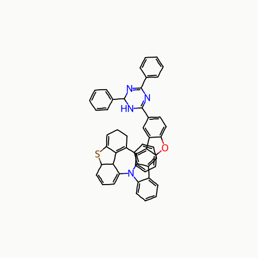 C1=CC2SC3=CCCC(c4cccc5oc6ccc(C7=NC(c8ccccc8)=NC(c8ccccc8)N7)cc6c45)=C3C2C(n2c3ccccc3c3ccccc32)=C1